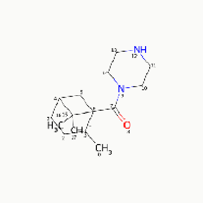 CC1CCC2CC1(C(=O)N1CCNCC1)C2(C)C